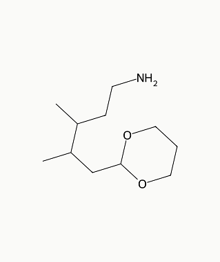 CC(CCN)C(C)CC1OCCCO1